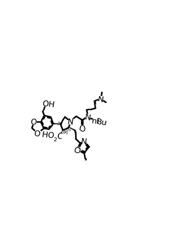 CCCCN(CCCN(C)C)C(=O)CN1C[C@H](c2cc(CO)c3c(c2)OCO3)[C@@H](C(=O)O)[C@@H]1CCc1ncc(C)o1